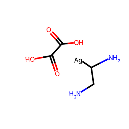 NC[CH](N)[Ag].O=C(O)C(=O)O